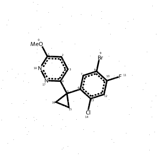 COc1ccc(C2(c3cc(Br)c(F)cc3Cl)CC2)nn1